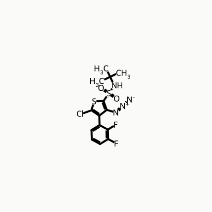 CC(C)(C)NS(=O)(=O)c1sc(Cl)c(-c2cccc(F)c2F)c1N=[N+]=[N-]